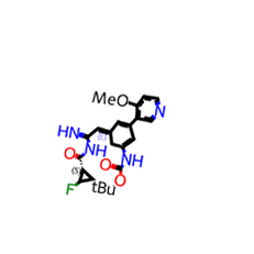 COc1ccncc1C1=C/C(=C/C(=N)NC(=O)[C@@H]2CC2F)CC(NC(=O)OC(C)(C)C)=C1